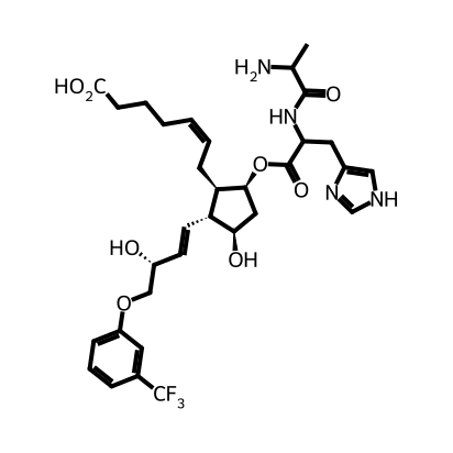 CC(N)C(=O)NC(Cc1c[nH]cn1)C(=O)O[C@H]1C[C@@H](O)[C@H](/C=C/[C@@H](O)COc2cccc(C(F)(F)F)c2)[C@H]1C/C=C\CCCC(=O)O